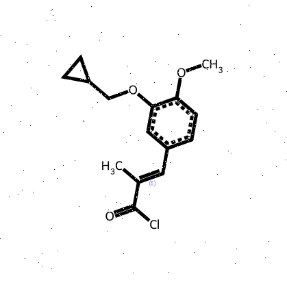 COc1ccc(/C=C(\C)C(=O)Cl)cc1OCC1CC1